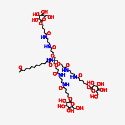 CC(=O)CCCCCCCCCCC(=O)NC(COCCC(=O)NCCCNC(=O)CCCCO[C@H]1OC(CO)[C@@H](O)C(O)C1O)(COCCC(=O)NCCCNC(=O)CCCCO[C@H]1OC(CO)[C@@H](O)C(O)C1O)COCCC(=O)NCCCNC(=O)CCCCO[C@H]1OC(CO)[C@@H](O)C(O)C1O